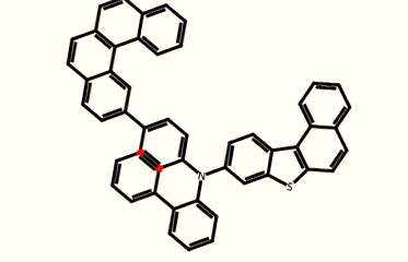 c1ccc(-c2ccccc2N(c2ccc(-c3ccc4ccc5ccc6ccccc6c5c4c3)cc2)c2ccc3c(c2)sc2ccc4ccccc4c23)cc1